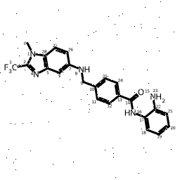 Cn1c(C(F)(F)F)nc2cc(NCc3ccc(C(=O)Nc4ccccc4N)cc3)ccc21